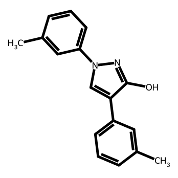 Cc1cccc(-c2cn(-c3cccc(C)c3)nc2O)c1